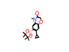 CN1C(=O)COc2cc(C3CC3)c(B3OC(C)(C)C(C)(C)O3)cc21